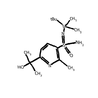 Cc1nc(C(C)(C)O)ccc1S(N)(=O)=N[Si](C)(C)C(C)(C)C